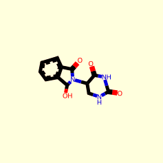 O=C1NCC(N2C(=O)c3ccccc3C2O)C(=O)N1